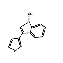 Cn1cc(C2=N[N]C=C2)c2ccccc21